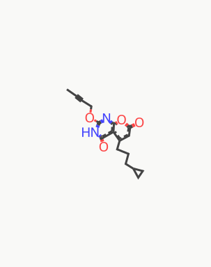 CC#CCOc1nc2oc(=O)cc(CCCC3CC3)c2c(=O)[nH]1